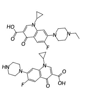 CCN1CCN(c2cc3c(cc2F)c(=O)c(C(=O)O)cn3C2CC2)CC1.O=C(O)c1cn(C2CC2)c2cc(N3CCNCC3)c(F)cc2c1=O